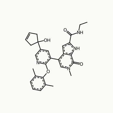 CCNC(=O)c1cc2c(-c3cc(C4(O)CC=CC4)cnc3Oc3c(C)cccc3C)cn(C)c(=O)c2[nH]1